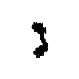 CC[C@H](NC)C(=O)N[C@@H]1C(=O)N2[C@@H](CC[C@@H]1CNC(=O)CCc1cn(CCCOCCOCCOCCCNC(=O)C(NC(=O)[C@@H]3CC[C@@H]4CCC[C@H](CNCc5ccccc5)[C@H](NC(=O)[C@H](CC)NC)C(=O)N43)(c3ccccc3)c3ccccc3)nn1)CC[C@H]2C(=O)NC(c1ccccc1)c1ccccc1